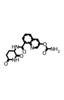 NC(=O)Oc1cnc2c(C(=O)NC3CCC(=O)NC3=O)cccc2c1